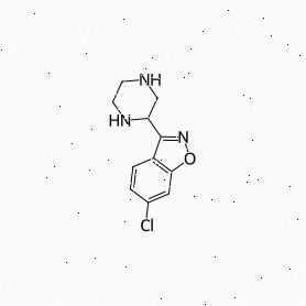 Clc1ccc2c(C3CNCCN3)noc2c1